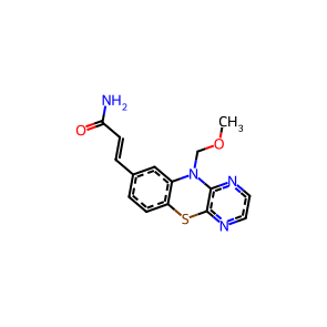 COCN1c2cc(C=CC(N)=O)ccc2Sc2nccnc21